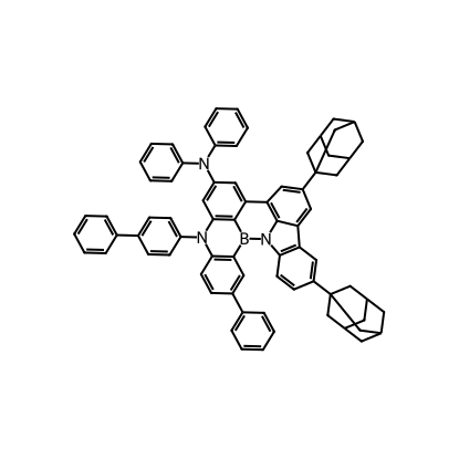 c1ccc(-c2ccc(N3c4ccc(-c5ccccc5)cc4B4c5c(cc(N(c6ccccc6)c6ccccc6)cc53)-c3cc(C56CC7CC(CC(C7)C5)C6)cc5c6cc(C78CC9CC(CC(C9)C7)C8)ccc6n4c35)cc2)cc1